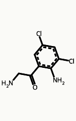 NCC(=O)c1cc(Cl)cc(Cl)c1N